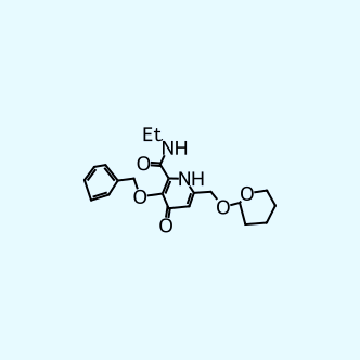 CCNC(=O)c1[nH]c(COC2CCCCO2)cc(=O)c1OCc1ccccc1